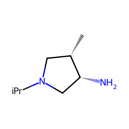 CC(C)N1C[C@@H](N)[C@@H](C)C1